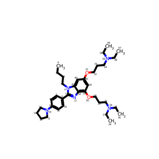 CCCCn1c(-c2ccc(N3CCCC3)cc2)nc2c(OCCCN(CC)CC)cc(OCCCN(CC)CC)cc21